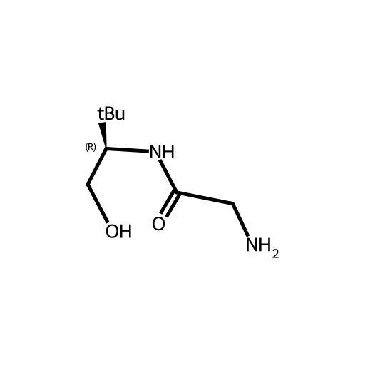 CC(C)(C)[C@H](CO)NC(=O)CN